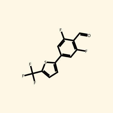 O=Cc1c(F)cc(-c2ccc(C(F)(F)F)s2)cc1F